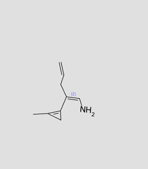 C=CC/C(=C/N)C1=C(C)C1